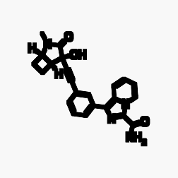 CN1C(=O)[C@](O)(C#Cc2cccc(-c3nc(C(N)=O)n4ccccc34)c2)[C@@H]2CC[C@@H]21